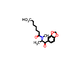 CC(C(=O)c1ccc2c(c1)OCO2)N(C)C(=O)CCCCCC(=O)O